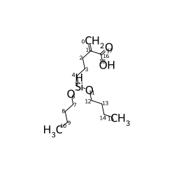 C=C(CCC[SiH](OCCCC)OCCCC)C(=O)O